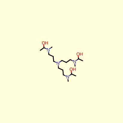 CC(O)N(C)CCCN(CCCN(C)C(C)O)CCCN(C)C(C)O